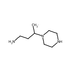 [CH2]C(CCN)N1CCNCC1